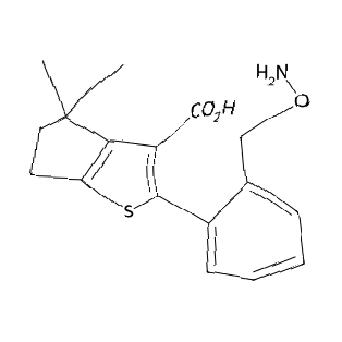 CC1(C)CCc2sc(-c3ccccc3CON)c(C(=O)O)c21